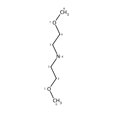 COCC[N]CCOC